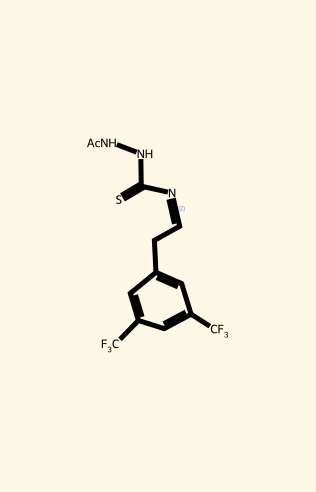 CC(=O)NNC(=S)/N=C\Cc1cc(C(F)(F)F)cc(C(F)(F)F)c1